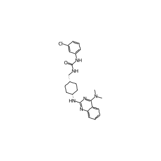 CN(C)c1nc(N[C@H]2CC[C@@H](CNC(=O)Nc3cccc(Cl)c3)CC2)nc2ccccc12